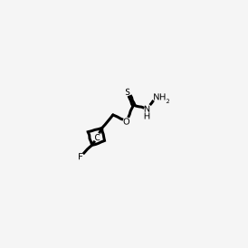 NNC(=S)OCC12CC(F)(C1)C2